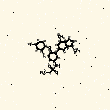 CCS(=O)(=O)Nc1ccc(Oc2ccc(F)cc2F)c(-c2cc(C)c3nnc(C)n3n2)c1